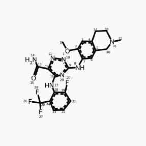 COc1cc2c(cc1Nc1nnc(C(N)=O)c(Nc3c(F)cccc3C(F)(F)F)n1)CN(C)CC2